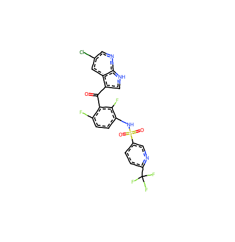 O=C(c1c(F)ccc(NS(=O)(=O)c2ccc(C(F)(F)F)nc2)c1F)c1c[nH]c2ncc(Cl)cc12